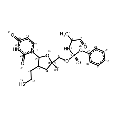 CC(C=O)NP(=O)(OC[C@]1(F)CC(CCS)C(n2ccc(=O)[nH]c2=O)O1)Oc1ccccc1